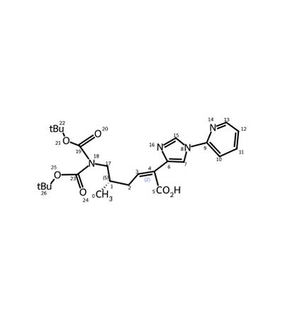 C[C@@H](C/C=C(\C(=O)O)c1cn(-c2ccccn2)cn1)CN(C(=O)OC(C)(C)C)C(=O)OC(C)(C)C